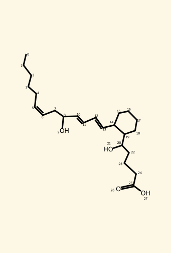 CCCCC/C=C\CC(O)/C=C/C=C/C1CCCCC1C(O)CCCC(=O)O